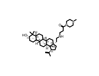 C=C(C)[C@@H]1CC[C@]2(CCNCCC(=O)N3CCN(C)CC3)CC[C@]3(C)[C@H](CC[C@@H]4[C@@]5(C)CC[C@H](O)C(C)(C)[C@@H]5CC[C@]43C)[C@@H]12